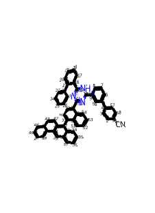 N#Cc1ccc(-c2cccc(C/N=C(\N=C(/N)c3ccccc3-c3ccccc3)c3ccc(-c4c5ccccc5cc5c4ccc4ccccc45)c4ccccc34)c2)cc1